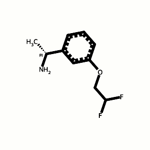 C[C@@H](N)c1cccc(OCC(F)F)c1